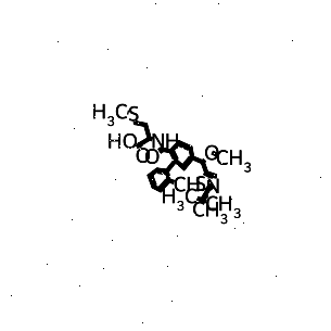 COC(c1ccc(C(=O)NC(CCSC)C(=O)O)c(-c2ccccc2C)c1)c1cnc(C(C)(C)C)s1